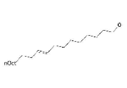 CCCCCCCCCCC=CCCCCCCCC[O]